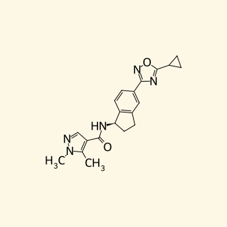 Cc1c(C(=O)N[C@@H]2CCc3cc(-c4noc(C5CC5)n4)ccc32)cnn1C